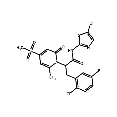 Cc1cc(S(C)(=O)=O)cc(=O)n1C(Cc1cc(F)ccc1Cl)C(=O)Nc1ncc(Cl)s1